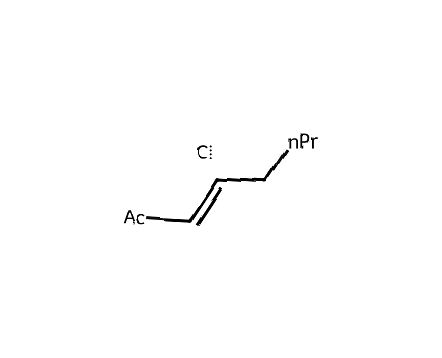 CCCCC=CC(C)=O.[C]